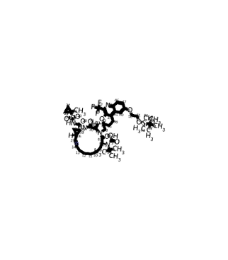 CC(C)(C)N(C(=O)O)[C@H]1CCCCC/C=C\[C@@H]2C[C@@]2(C(=O)NS(=O)(=O)C2(C)CC2)NC(=O)[C@@H]2C[C@]3(CCc4c(c(C(F)(F)F)nc5ccc(OCCO[Si](C)(C)C(C)(C)C)cc45)O3)CN2C1=O